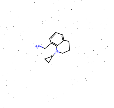 NCc1cccc2c1N(C1CC1)CCC2